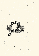 CN[C@@H](C)C(=O)N[C@H](C(=O)N1C[C@@H]2C[C@H]1C(=O)N[C@@H](CCc1ccccc1)C(=O)N[C@H](C(=O)O)Cc1ccc(cc1)OCc1cn2nn1)C(C)C